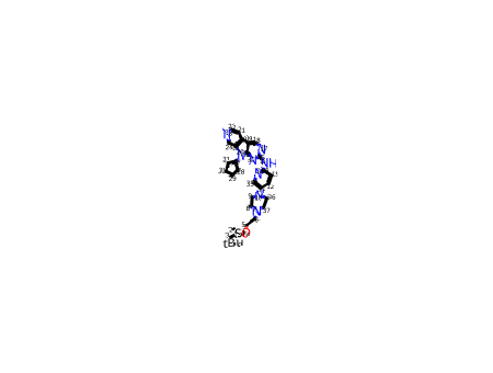 CC(C)(C)[Si](C)(C)OCCN1CCN(c2ccc(Nc3ncc4c5ccncc5n(C5CCCC5)c4n3)nc2)CC1